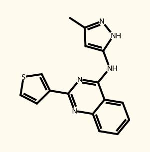 Cc1cc(Nc2nc(-c3ccsc3)nc3ccccc23)[nH]n1